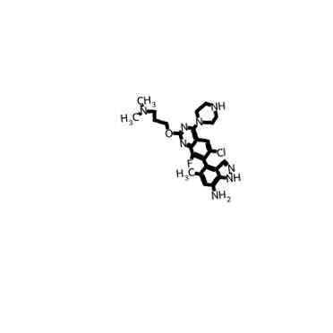 Cc1cc(N)c2[nH]ncc2c1-c1c(Cl)cc2c(N3CCNCC3)nc(OCCCN(C)C)nc2c1F